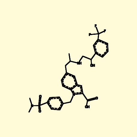 CC(Cc1ccc2c(c1)cc(C(=O)O)n2Cc1ccc(S(=O)(=O)N(C)C)cc1)NCC(O)c1cccc(C(F)(F)F)c1